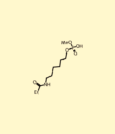 CCC(=O)NCCCCCCOP(=O)(O)OC